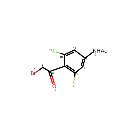 CC(=O)Nc1cc(F)c(C(=O)CBr)c(F)c1